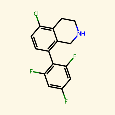 Fc1cc(F)c(-c2ccc(Cl)c3c2CNCC3)c(F)c1